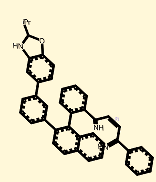 CC(C)C1Nc2cc(-c3cccc(-c4ccc5ccccc5c4-c4ccccc4C(=N)/C=C\C(=N)c4ccccc4)c3)ccc2O1